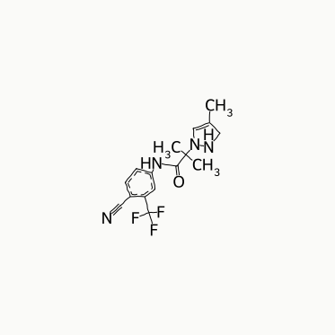 CC1=CN(C(C)(C)C(=O)Nc2ccc(C#N)c(C(F)(F)F)c2)NC1